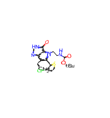 C=Cc1c(-c2sccc2Cl)n(CCNC(=O)OC(C)(C)C)c2c(=O)[nH]cnc12